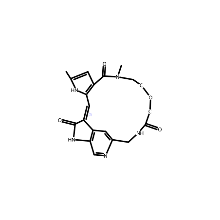 Cc1cc2c([nH]1)/C=C1\C(=O)Nc3cnc(cc31)CNC(=O)COCCN(C)C2=O